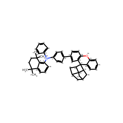 CC1(C)CCC(C)(C)c2c(N(c3ccccc3)c3ccc(-c4ccc5c(c4)C4(c6ccccc6O5)C5CC6CC7CC4C75C6)cc3)cccc21